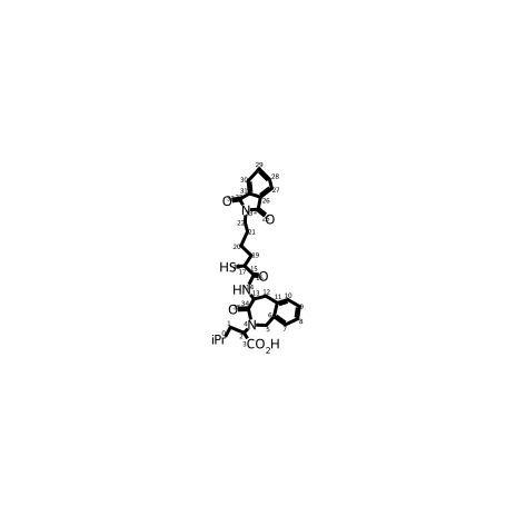 CC(C)CC(C(=O)O)N1Cc2ccccc2CC(NC(=O)C(S)CCCCN2C(=O)c3ccccc3C2=O)C1=O